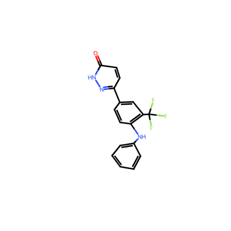 O=c1ccc(-c2ccc(Nc3ccccc3)c(C(F)(F)F)c2)n[nH]1